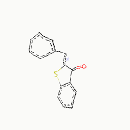 O=C1/C(=C/c2ccccc2)Sc2ccccc21